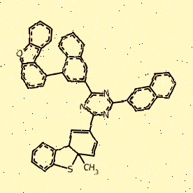 CC12C=CC(c3nc(-c4ccc5ccccc5c4)nc(-c4cc(-c5cccc6oc7ccccc7c56)c5ccccc5c4)n3)=CC1c1ccccc1S2